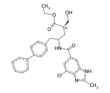 CCOC(=O)[C@@H](CO)CC(Cc1ccc(-c2ccccc2)cc1)NC(=O)c1cc(Cl)c2nc(C)[nH]c2c1